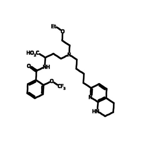 CCOCCN(CCCCc1ccc2c(n1)NCCC2)CCC(NC(=O)c1ccccc1OC(F)(F)F)C(=O)O